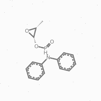 C[C@H]1O[C@H]1O[PH](=O)N(c1ccccc1)c1ccccc1